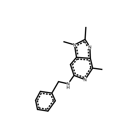 Cc1nc(NCc2ccccc2)cc2c1nc(C)n2C